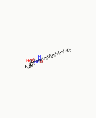 CCC=CCC=CCC=CCC=CCC=CCC=CCCC(=O)NCCNC(=O)c1ccc(C(F)(F)F)cc1O